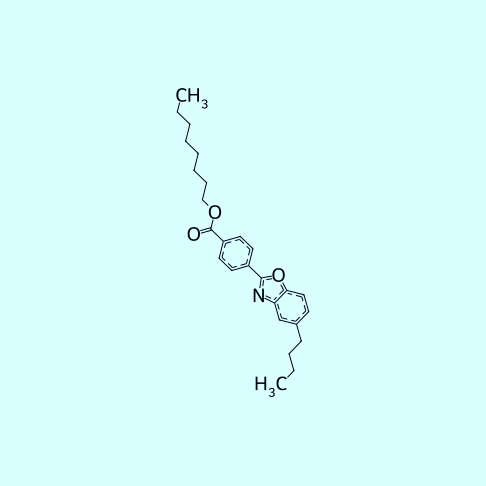 CCCCCCCCOC(=O)c1ccc(-c2nc3cc(CCCC)ccc3o2)cc1